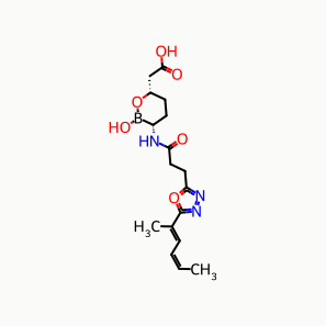 C/C=C\C=C(/C)c1nnc(CCC(=O)N[C@H]2CC[C@@H](CC(=O)O)OB2O)o1